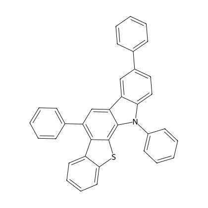 c1ccc(-c2ccc3c(c2)c2cc(-c4ccccc4)c4c5ccccc5sc4c2n3-c2ccccc2)cc1